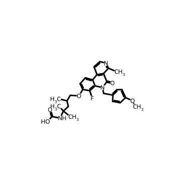 COc1ccc(Cn2c(=O)c3c(C)nccc3c3ccc(OCC(C)CC(C)(C)NC(=O)O)c(F)c32)cc1